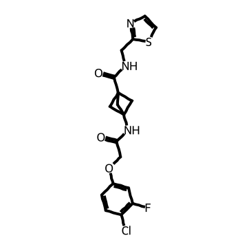 O=C(COc1ccc(Cl)c(F)c1)NC12CC(C(=O)NCc3nccs3)(C1)C2